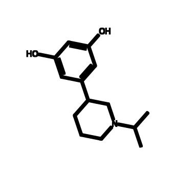 CC(C)N1CCCC(c2cc(O)cc(O)c2)C1